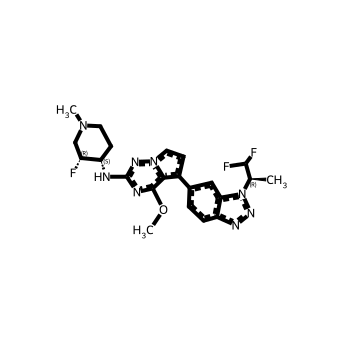 COc1nc(N[C@H]2CCN(C)C[C@H]2F)nn2ccc(-c3ccc4nnn([C@H](C)C(F)F)c4c3)c12